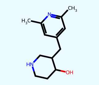 Cc1cc(CC2CNCCC2O)cc(C)n1